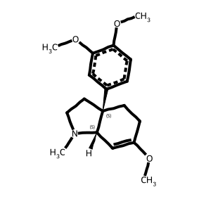 COC1=C[C@@H]2N(C)CC[C@]2(c2ccc(OC)c(OC)c2)CC1